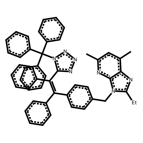 CCc1nc2c(C)cc(C)nc2n1Cc1ccc(C(=C(c2ccccc2)c2nnnn2C(c2ccccc2)(c2ccccc2)c2ccccc2)c2ccccc2)cc1